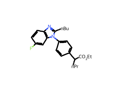 CCCCc1nc2ccc(F)cc2n1-c1ccc(C(CCC)C(=O)OCC)cc1